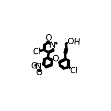 Cn1cc(-c2cc([N+](=O)[O-])ccc2Oc2ccc(Cl)cc2C#CCO)c(Cl)cc1=O